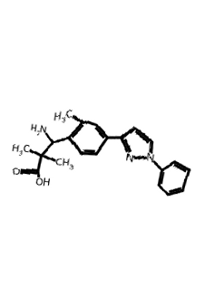 Cc1cc(-c2ccn(-c3ccccc3)n2)ccc1C(N)C(C)(C)C(=O)O